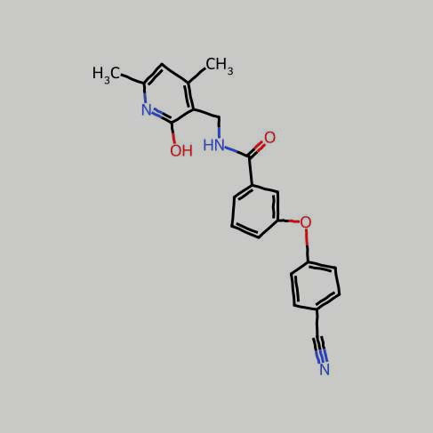 Cc1cc(C)c(CNC(=O)c2cccc(Oc3ccc(C#N)cc3)c2)c(O)n1